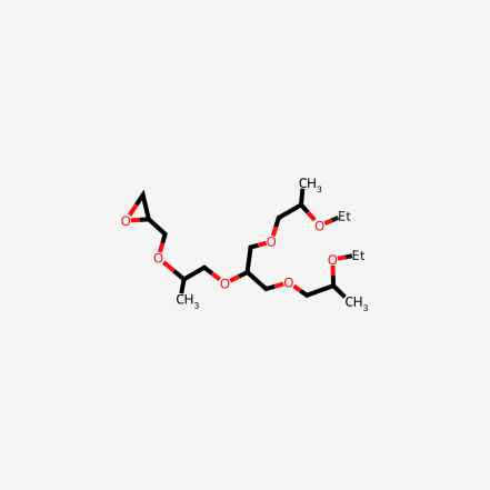 CCOC(C)COCC(COCC(C)OCC)OCC(C)OCC1CO1